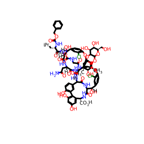 CC(C)C[C@H](NC(=O)OCc1ccccc1)C(=O)N[C@H]1C(=O)N[C@@H](CC(N)=O)C(=O)N[C@H]2C(=O)N[C@H]3C(=O)NC(C(=O)N[C@H](C(=O)O)c4cc(O)cc(O)c4-c4cc3ccc4O)[C@H](O)c3ccc(c(Cl)c3)Oc3cc2cc(c3OC2O[C@H](CO)[C@@H](O)[C@H](O)C2O[C@H]2C[C@](C)(NC(=O)CNC(=O)OC(C)(C)C)[C@H](O)[C@H](C)O2)Oc2ccc(cc2Cl)[C@H]1O